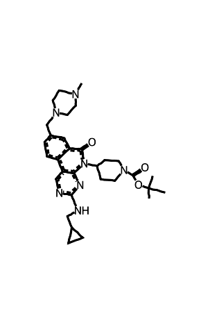 CN1CCN(Cc2ccc3c(c2)c(=O)n(C2CCN(C(=O)OC(C)(C)C)CC2)c2nc(NCC4CC4)ncc32)CC1